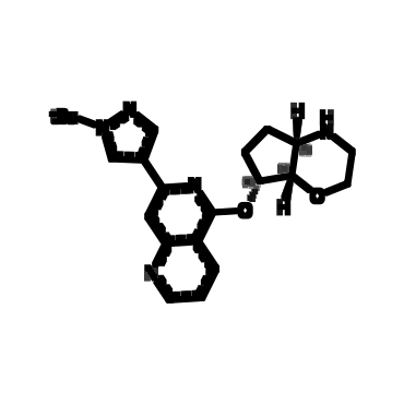 CC(C)(C)n1cc(-c2cc3ncccc3c(O[C@@H]3CC[C@@H]4NCCO[C@@H]43)n2)cn1